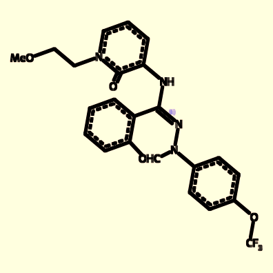 COCCn1cccc(N/C(=N/N(C=O)c2ccc(OC(F)(F)F)cc2)c2ccccc2C)c1=O